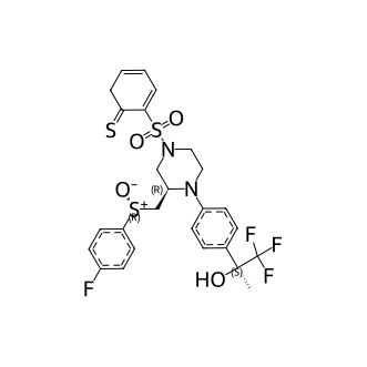 C[C@](O)(c1ccc(N2CCN(S(=O)(=O)C3=CC=CCC3=S)C[C@@H]2C[S@+]([O-])c2ccc(F)cc2)cc1)C(F)(F)F